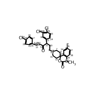 CN1C(=O)OC2(CCN(CCC(C(=O)NCc3ccc(Cl)cc3)c3ccc(Cl)c(Cl)c3)CC2)c2cc(F)ccc21